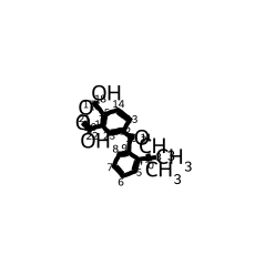 CC(C)(C)c1ccccc1C(=O)c1ccc(C(=O)O)c(C(=O)O)c1